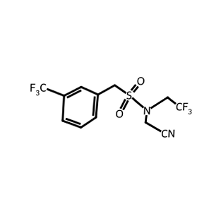 N#CCN(CC(F)(F)F)S(=O)(=O)Cc1cccc(C(F)(F)F)c1